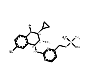 CC(=O)N1c2ccc(C#N)cc2[C@H](Nc2nccc(CO[Si](C)(C)C(C)(C)C)n2)[C@@H](C)[C@@H]1C1CC1